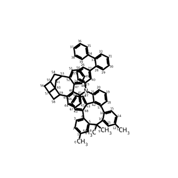 Cc1ccc2c(c1)C(C)(C)c1cc(C)ccc1-c1cccc(N(c3cccc(-c4ccccc4-c4ccccc4)c3)c3cccc4c3-c3ccccc3C3CC5CC6CC4C56C3)c1-c1ccccc1-2